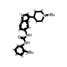 CCCCN1CCC(c2csc3ccc(NC(=O)Nc4ccccc4C(C)CC)cc23)CC1